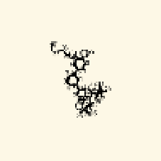 COc1ccc(-c2cccc(C(CO[Si](C)(C)C(C)(C)C)CB3OC(C)(C)C(C)(C)O3)c2)cc1OCCCF